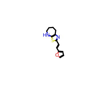 C(=Cc1nc2c(s1)NCCCC2)c1ccco1